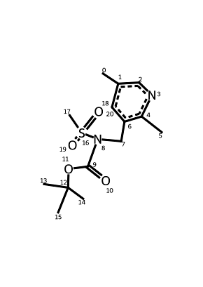 Cc1cnc(C)c(CN(C(=O)OC(C)(C)C)S(C)(=O)=O)c1